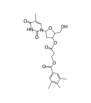 Cc1cc(C(=O)OCCC(=O)OC2CC(n3cc(C)c(=O)[nH]c3=O)OC2CO)cc(C)c1C